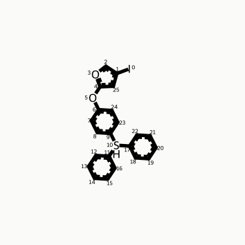 Ic1coc(Oc2ccc([SH](c3ccccc3)c3ccccc3)cc2)c1